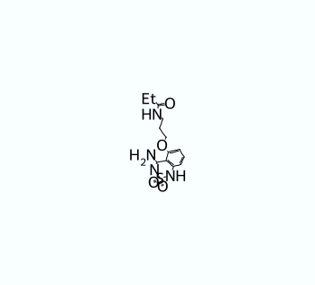 CCC(=O)NCCCOc1cccc2c1C(N)=NS(=O)(=O)N2